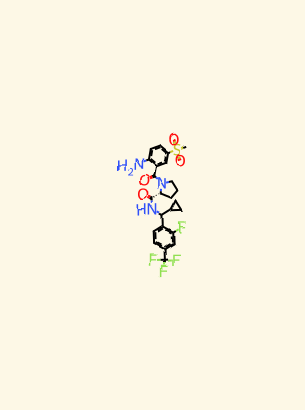 CS(=O)(=O)c1ccc(N)c(C(=O)N2CCC[C@@H]2C(=O)NC(c2ccc(C(F)(F)F)cc2F)C2CC2)c1